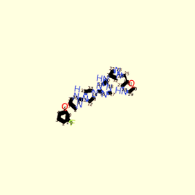 Fc1cccc(OC2=CN=C(N3CCN(c4ncnc(Nc5cnn(C[C@@H]6CNCCO6)c5)n4)CC3)NC2)c1